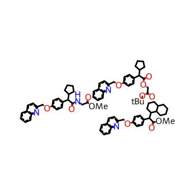 CC(C)(C)OC(=O)COC(=O)C(c1ccc(OCc2ccc3ccccc3n2)cc1)C1CCCC1.COC(=O)C(c1ccc(OCc2ccc3ccccc3n2)cc1)C1CCCC2CCCCC21.COC(=O)CNC(=O)C(c1ccc(OCc2ccc3ccccc3n2)cc1)C1CCCC1